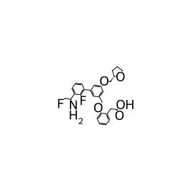 NC(CF)c1cccc(-c2cc(COc3ccccc3CC(=O)O)cc(OC[C@H]3CCCO3)c2)c1F